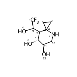 O[C@@H]1[C@@H]([C@@H](O)C(F)(F)F)C2(CC2)NC[C@H]1O